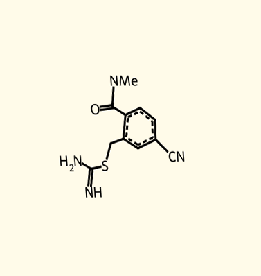 CNC(=O)c1ccc(C#N)cc1CSC(=N)N